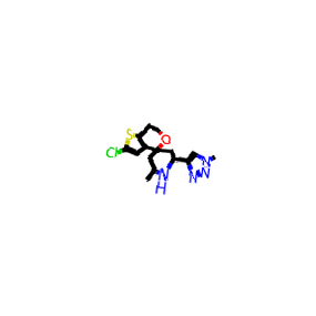 CC1CC2(CC(c3cn(C)nn3)N1)OCCc1sc(Cl)cc12